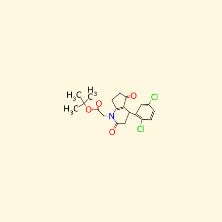 CC(C)(C)OC(=O)CN1C(=O)CC(c2cc(Cl)ccc2Cl)C2=C1CCC2=O